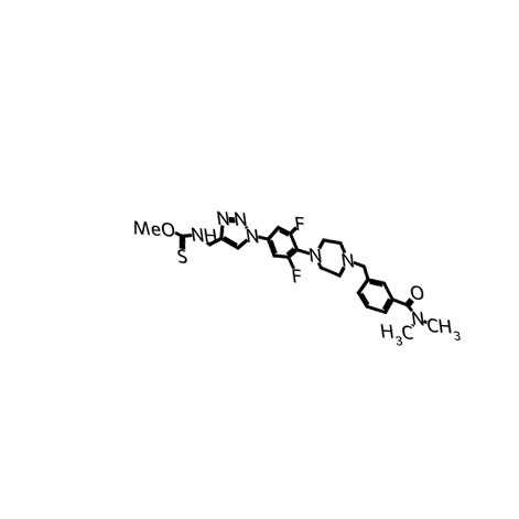 COC(=S)NCc1cn(-c2cc(F)c(N3CCN(Cc4cccc(C(=O)N(C)C)c4)CC3)c(F)c2)nn1